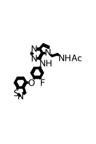 CC(=O)NCCn1ccc2ncnc(Nc3ccc(Oc4cccc5sncc45)c(F)c3)c21